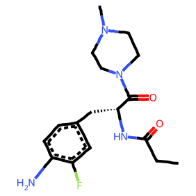 CCC(=O)N[C@H](Cc1ccc(N)c(F)c1)C(=O)N1CCN(C)CC1